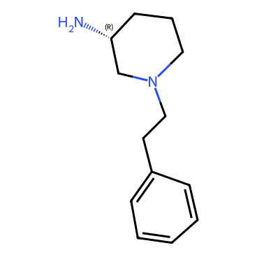 N[C@@H]1CCCN(CCc2ccccc2)C1